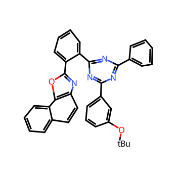 CC(C)(C)Oc1cccc(-c2nc(-c3ccccc3)nc(-c3ccccc3-c3nc4ccc5ccccc5c4o3)n2)c1